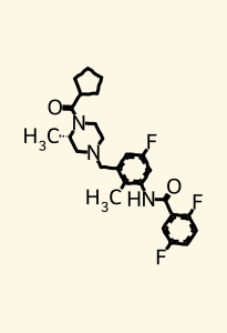 Cc1c(CN2CCN(C(=O)C3CCCC3)[C@@H](C)C2)cc(F)cc1NC(=O)c1cc(F)ccc1F